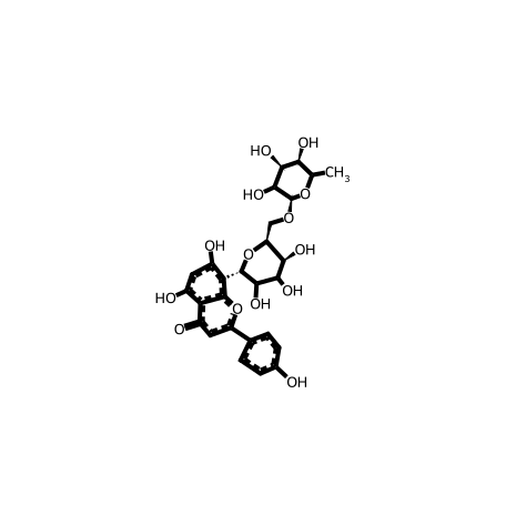 CC1O[C@@H](OC[C@@H]2O[C@@H](c3c(O)cc(O)c4c(=O)cc(-c5ccc(O)cc5)oc34)C(O)C(O)[C@@H]2O)C(O)[C@@H](O)[C@H]1O